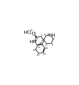 Cl.O=C1CC2(CCCNC2)C2=C(CCC=C2)N1